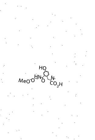 COCOCCNC(=O)c1cc(O)ccc1CC(C(=O)O)N(C)C